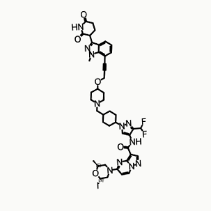 C[C@H]1CN(c2ccn3ncc(C(=O)Nc4cn(C5CCC(CN6CCC(OCC#Cc7cccc8c(C9CCC(=O)NC9=O)nn(C)c78)CC6)CC5)nc4C(F)F)c3n2)C[C@H](I)O1